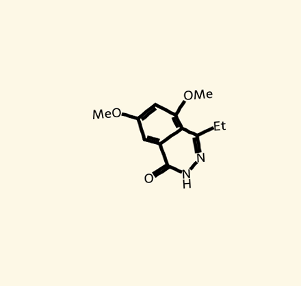 CCc1n[nH]c(=O)c2cc(OC)cc(OC)c12